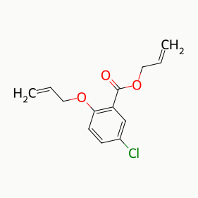 C=CCOC(=O)c1cc(Cl)ccc1OCC=C